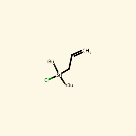 C=C[CH2][Sn]([Cl])([CH2]CCC)[CH2]CCC